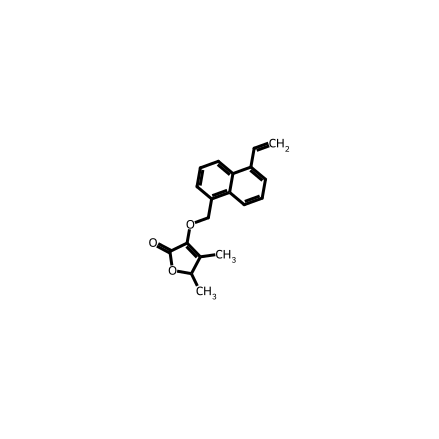 C=Cc1cccc2c(COC3=C(C)C(C)OC3=O)cccc12